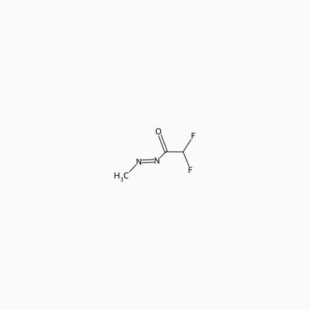 CN=NC(=O)C(F)F